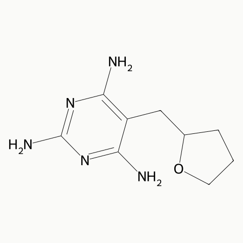 Nc1nc(N)c(CC2CCCO2)c(N)n1